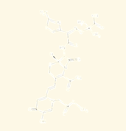 COC(=O)Cn1cc(O)c(=O)cc1C=CC1=C(C(=O)O)N2C(=O)[C@@H](NC(=O)/C(=N\OC(C)(C)C(=O)O)c3csc(N)n3)[C@H]2SC1